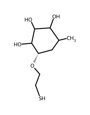 CC1C[C@H](OCCS)C(O)C(O)C1O